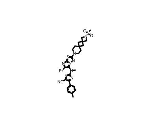 CCc1nc2sc(N3CCC4(CC3)CC3(CN(S(C)(=O)=O)C3)C4)nn2c1N(C)c1nc(-c2ccc(C)cc2)c(C#N)s1